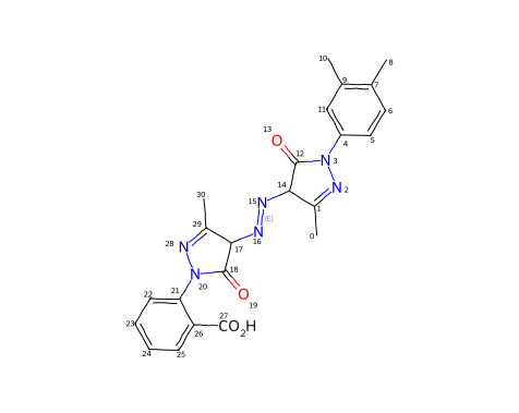 CC1=NN(c2ccc(C)c(C)c2)C(=O)C1/N=N/C1C(=O)N(c2ccccc2C(=O)O)N=C1C